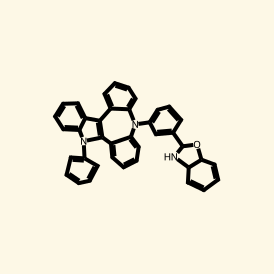 C1=CC2NC(c3cccc(N4c5ccccc5-c5c(n(-c6ccccc6)c6ccccc56)-c5ccccc54)c3)OC2C=C1